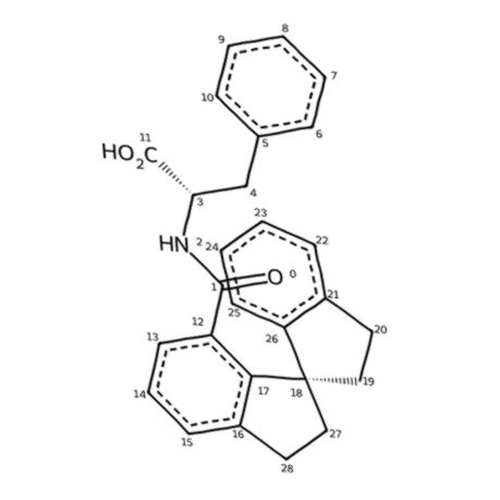 O=C(N[C@@H](Cc1ccccc1)C(=O)O)c1cccc2c1[C@]1(CCc3ccccc31)CC2